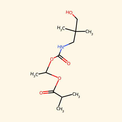 CC(OC(=O)NCC(C)(C)CO)OC(=O)C(C)C